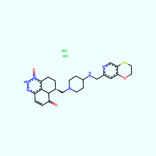 Cl.Cl.O=C1C=Cc2n[nH][n+](=O)c3c2C1[C@H](CN1CCC(NCc2cc4c(cn2)SCCO4)CC1)CC3